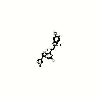 Cn1cc(-c2cnc3c(NCc4nc5cc(Cl)c(Cl)cc5[nH]4)nc(Br)cn23)cn1